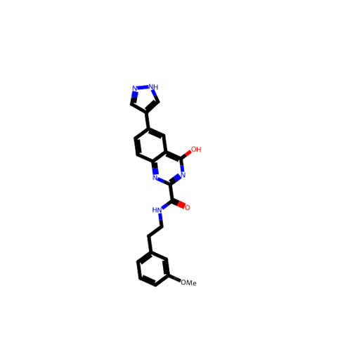 COc1cccc(CCNC(=O)c2nc(O)c3cc(-c4cn[nH]c4)ccc3n2)c1